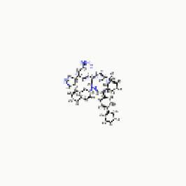 CC1=C\C=C(\C=C\C(=C/CN)C2CC=NC2)CN(C2C=CC3CCC=CC3C2)C/C(C2=CC=C(C3=CC=CCC3)CC2)=C2/CCC=C/C2=C\1C